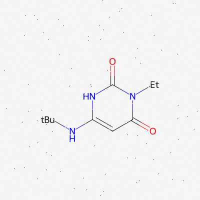 CCn1c(=O)cc(NC(C)(C)C)[nH]c1=O